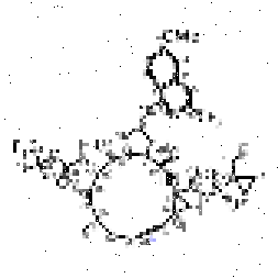 COc1ccc2c(O[C@@H]3C[C@H]4C(=O)N[C@]5(C(=O)NS(=O)(=O)C6(CF)CC6)C[C@H]5/C=C\CC[C@@H](C)C[C@@H](C)[C@H](NC(=O)OC(C)(C)C(F)(F)F)C(=O)N4C3)nc(C(F)(F)F)cc2c1